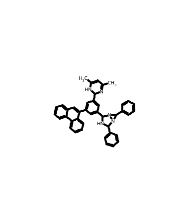 CC1=CC(C)=NC(c2cc(-c3cc4ccccc4c4ccccc34)cc(C3NC(c4ccccc4)N4C(c5ccccc5)N34)c2)N1